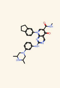 CNC(=O)c1cn(-c2ccc3c(c2)CCC3)c2nc(Nc3cccc(N4CC(C)NC(C)C4)c3)ncc2c1=O